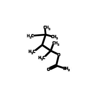 BC(=O)OC(C)(C)C(C)C(C)(C)C